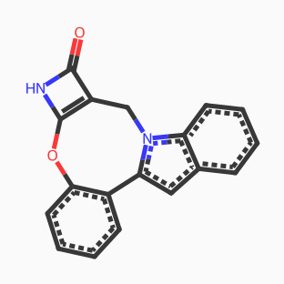 O=C1NC2=C1Cn1c(cc3ccccc31)-c1ccccc1O2